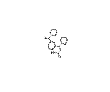 O=C(c1ccccc1)c1ccc2[nH]c(=O)cc(-c3ccccc3)c2c1